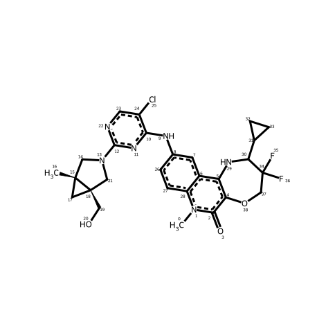 Cn1c(=O)c2c(c3cc(Nc4nc(N5C[C@@]6(C)C[C@@]6(CO)C5)ncc4Cl)ccc31)NC(C1CC1)C(F)(F)CO2